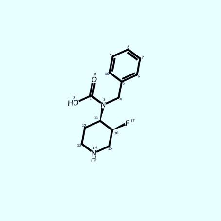 O=C(O)N(Cc1ccccc1)[C@@H]1CCNC[C@@H]1F